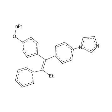 CCCOc1ccc(C(=C(CC)c2ccccc2)c2ccc(-n3ccnc3)cc2)cc1